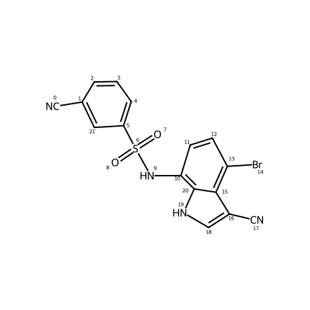 N#Cc1cccc(S(=O)(=O)Nc2ccc(Br)c3c(C#N)c[nH]c23)c1